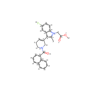 COC(=O)Cn1c(C)c(C2=CCCN(C(=O)c3cccc4ccccc34)C2)c2cc(F)ccc21